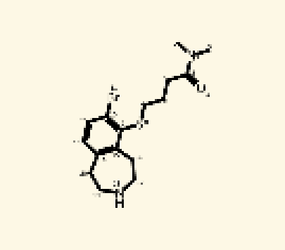 CN(C)C(=O)CCCSc1c(Br)ccc2c1CCNCC2